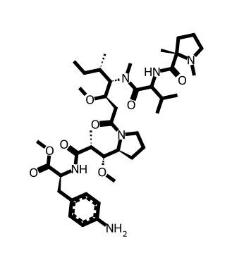 CC[C@H](C)[C@@H]([C@@H](CC(=O)N1CCC[C@H]1[C@H](OC)[C@@H](C)C(=O)N[C@@H](Cc1ccc(N)cc1)C(=O)OC)OC)N(C)C(=O)C(NC(=O)[C@]1(C)CCCN1C)C(C)C